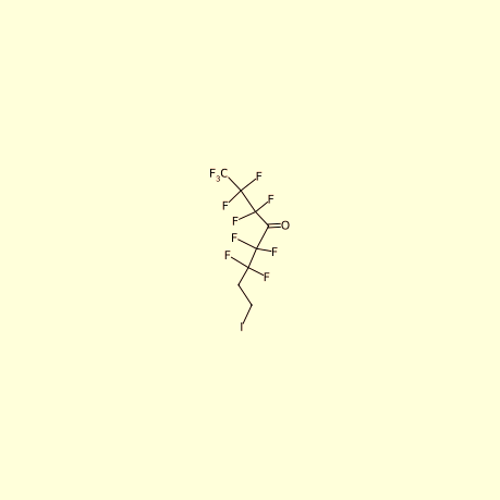 O=C(C(F)(F)C(F)(F)CCI)C(F)(F)C(F)(F)C(F)(F)F